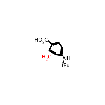 C[C](C)(C)[AlH][c]1ccc(C(=O)O)cc1.O